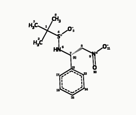 CC(C)(C)[S+]([O-])N[C@H](C[N+](=O)[O-])c1ccccc1